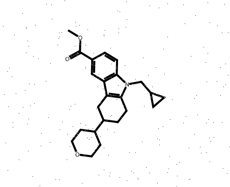 COC(=O)c1ccc2c(c1)c1c(n2CC2CC2)CCC(C2CCOCC2)C1